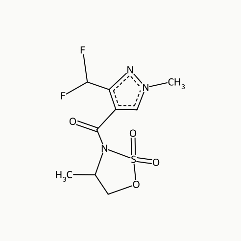 CC1COS(=O)(=O)N1C(=O)c1cn(C)nc1C(F)F